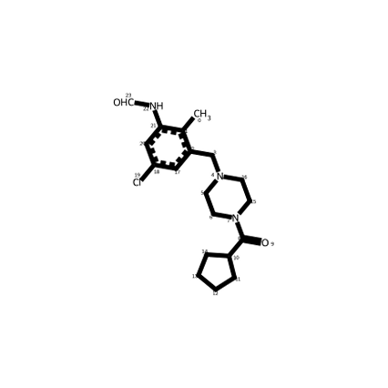 Cc1c(CN2CCN(C(=O)C3CCCC3)CC2)cc(Cl)cc1NC=O